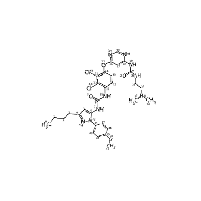 CCCCc1cc(NC(=O)Nc2ccc(Oc3cc(NC(=O)NCCN(C)C)ncn3)c(Cl)c2Cl)n(-c2ccc(OC)cc2)n1